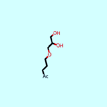 CC(=O)CCCOCC(O)CO